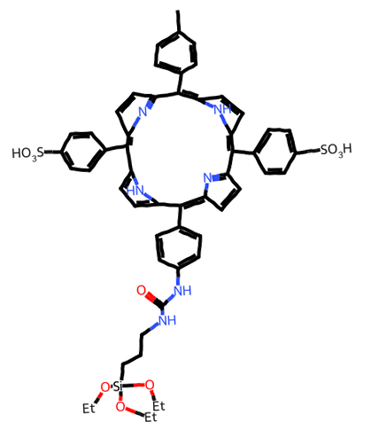 CCO[Si](CCCNC(=O)Nc1ccc(-c2c3nc(c(-c4ccc(S(=O)(=O)O)cc4)c4ccc([nH]4)c(-c4ccc(C)cc4)c4nc(c(-c5ccc(S(=O)(=O)O)cc5)c5ccc2[nH]5)C=C4)C=C3)cc1)(OCC)OCC